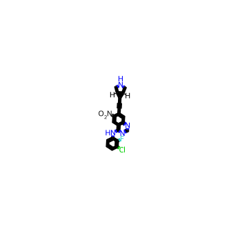 O=[N+]([O-])c1cc2c(Nc3cccc(Cl)c3F)ncnc2cc1C#CC1[C@H]2CNC[C@@H]12